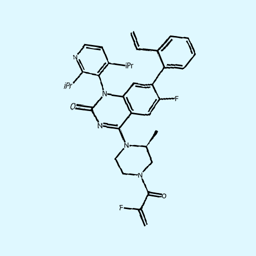 C=Cc1ccccc1-c1cc2c(cc1F)c(N1CCN(C(=O)C(=C)F)C[C@@H]1C)nc(=O)n2-c1c(C(C)C)ccnc1C(C)C